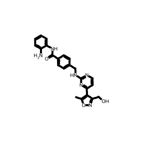 Cc1onc(CO)c1-c1ccnc(NCc2ccc(C(=O)Nc3ccccc3N)cc2)n1